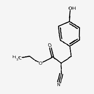 CCOC(=O)C(C#N)Cc1ccc(O)cc1